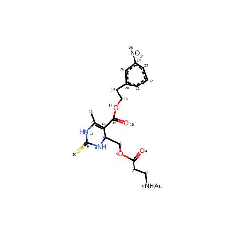 CC(=O)NCCC(=O)OCC1NC(=S)NC(C)=C1C(=O)OCCc1cccc([N+](=O)[O-])c1